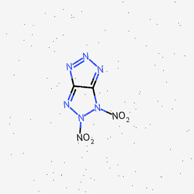 O=[N+]([O-])n1nc2nnnc-2n1[N+](=O)[O-]